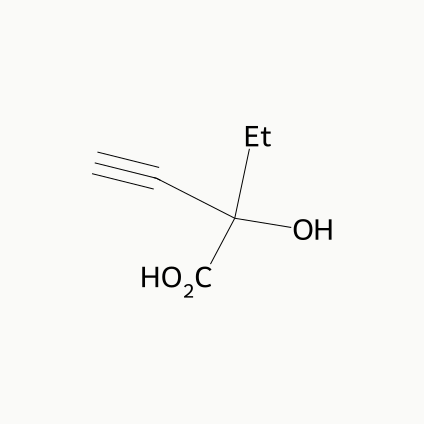 C#CC(O)(CC)C(=O)O